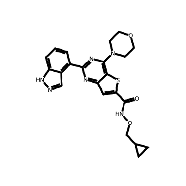 O=C(NOCC1CC1)c1cc2nc(-c3cccc4[nH]ncc34)nc(N3CCOCC3)c2s1